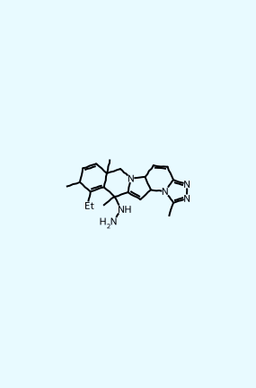 CCC1=C2C(C)(C=CC1C)CN1C(=CC3C1C=Cc1nnc(C)n13)C2(C)NN